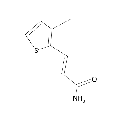 Cc1ccsc1C=CC(N)=O